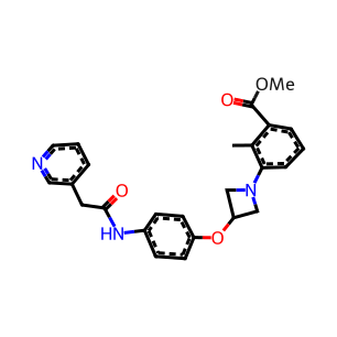 COC(=O)c1cccc(N2CC(Oc3ccc(NC(=O)Cc4cccnc4)cc3)C2)c1C